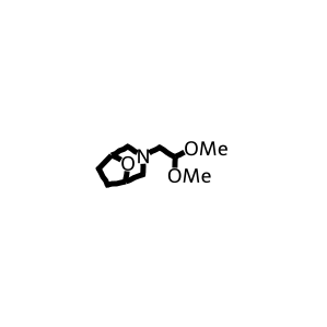 COC(CN1CC2CCC(C1)O2)OC